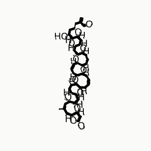 C=C(C=O)C[C@@H]1C[C@H](O)[C@@H]2O[C@@H]3C[C@]4(C)O[C@@H]5/C=C\C[C@@H]6O[C@H]7[C@H](C/C=C\C[C@H]6O[C@H]5CCC[C@H]4O[C@H]3C[C@H]2O1)O[C@@H]1C[C@@H]2O[C@@H]3CC(=O)O[C@H]3C[C@@H](C)C[C@@]2(C)O[C@H]1C[C@@H]7C